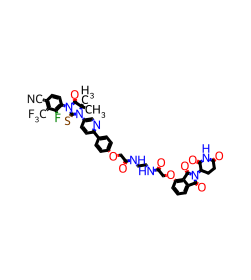 CC1(C)C(=O)N(c2ccc(C#N)c(C(F)(F)F)c2F)C(=S)N1c1ccc(-c2ccc(OCC(=O)NCCNC(=O)COc3cccc4c3C(=O)N(C3CCC(=O)NC3=O)C4=O)cc2)nc1